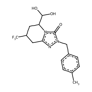 Cc1ccc(Cn2nc3n(c2=O)C(C(O)O)CC(C(F)(F)F)C3)cc1